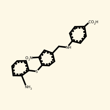 Nc1ccccc1Sc1ccc(CNc2ccc(C(=O)O)cc2)cc1[N+](=O)[O-]